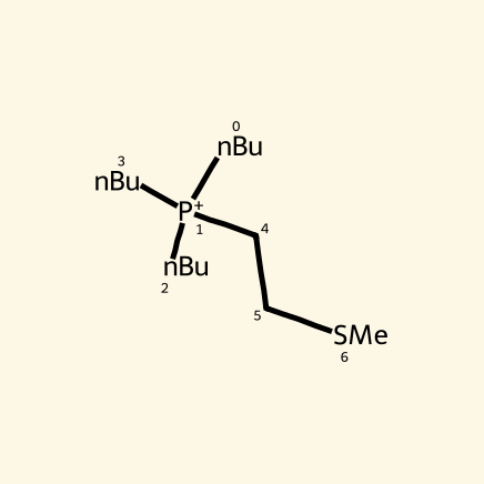 CCCC[P+](CCCC)(CCCC)CCSC